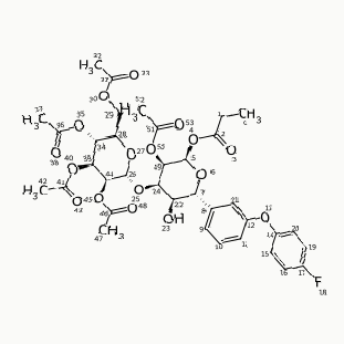 CCC(=O)O[C@H]1O[C@H](c2cccc(Oc3ccc(F)cc3)c2)[C@@H](O)[C@@H](O[C@H]2O[C@H](COC(C)=O)[C@@H](OC(C)=O)[C@H](OC(C)=O)[C@@H]2OC(C)=O)[C@H]1OC(C)=O